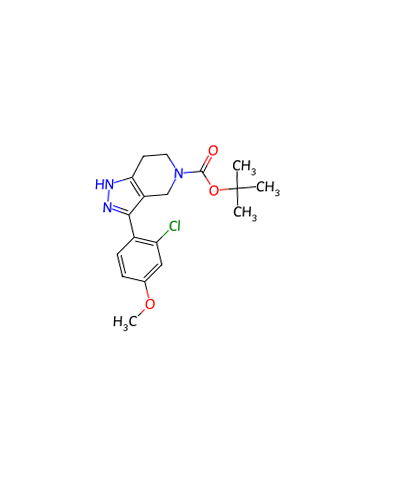 COc1ccc(-c2n[nH]c3c2CN(C(=O)OC(C)(C)C)CC3)c(Cl)c1